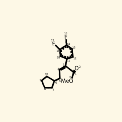 COC(=O)C(=CCC1CCCC1)c1ccc(F)c(F)c1